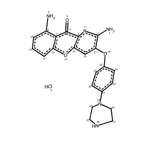 Cl.Nc1nc2c(=O)c3c(N)cccc3oc2cc1Oc1ccc(N2CCNCC2)cc1